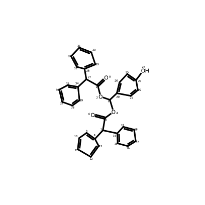 O=C(OC(OC(=O)C(c1ccccc1)c1ccccc1)c1ccc(O)cc1)C(c1ccccc1)c1ccccc1